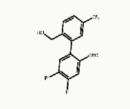 COc1cc(F)c(C(C)C)cc1-c1cc(C(F)(F)F)ccc1CO